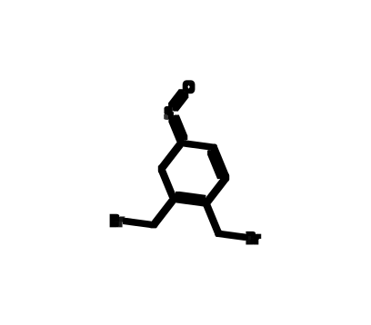 O=S=C1C=CC(CBr)=C(CBr)C1